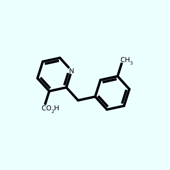 Cc1cccc(Cc2ncccc2C(=O)O)c1